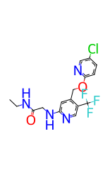 CCNC(=O)CNc1cc(COc2ccc(Cl)cn2)c(C(F)(F)F)cn1